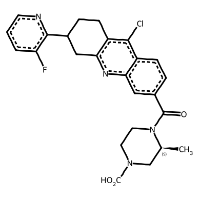 C[C@H]1CN(C(=O)O)CCN1C(=O)c1ccc2c(Cl)c3c(nc2c1)CC(c1ncccc1F)CC3